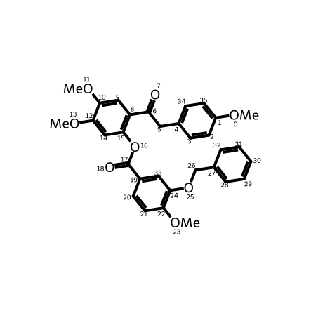 COc1ccc(CC(=O)c2cc(OC)c(OC)cc2OC(=O)c2ccc(OC)c(OCc3ccccc3)c2)cc1